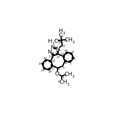 CC(C)OC1Cc2ccccc2-c2c(nnn2CC(C)(C)C)-c2ccccc21